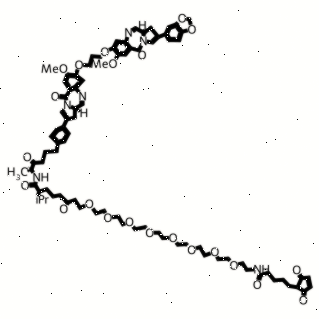 COc1cc2c(cc1OCCCOc1cc3c(cc1OC)C(=O)N1C=C(c4ccc5c(c4)OCO5)C[C@H]1C=N3)N=C[C@@H]1CC(c3ccc(CCCC(=O)[C@H](C)NC(=O)C(CCCC(=O)CCOCCOCCOCCOCCOCCOCCOCCOCCNC(=O)CCCCC4C(=O)C=CC4=O)C(C)C)cc3)=CN1C2=O